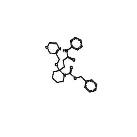 O=C(CCC1(OCC2=NC=COC2)CCCCN1C(=O)OCc1ccccc1)Nc1ccccc1